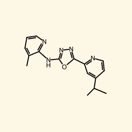 Cc1cccnc1Nc1nnc(-c2cc(C(C)C)ccn2)o1